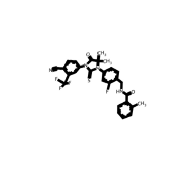 Cc1ccccc1C(=O)NCc1ccc(N2C(=S)N(c3ccc(C#N)c(C(F)(F)F)c3)C(=O)C2(C)C)cc1F